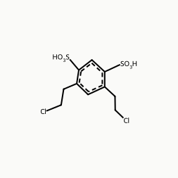 O=S(=O)(O)c1cc(S(=O)(=O)O)c(CCCl)cc1CCCl